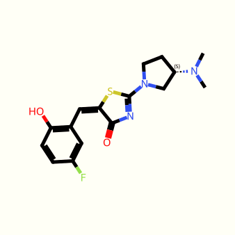 CN(C)[C@H]1CCN(C2=NC(=O)C(=Cc3cc(F)ccc3O)S2)C1